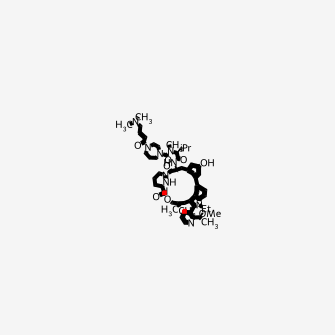 CCn1c(-c2cccnc2[C@H](C)OC)c2c3cc(ccc31)-c1cc(O)cc(c1)C[C@H](NC(=O)[C@H](C(C)C)N(C)C(=O)N1CCCN(C(=O)/C=C/CN(C)C)CC1)C(=O)N1CCC[C@H](N1)C(=O)OCC(C)(C)C2